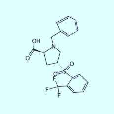 O=C(O)[C@@H]1C[C@@H](S(=O)(=O)c2ccccc2C(F)(F)F)CN1Cc1ccccc1